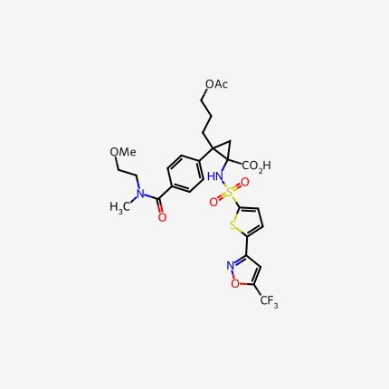 COCCN(C)C(=O)c1ccc(C2(CCCOC(C)=O)CC2(NS(=O)(=O)c2ccc(-c3cc(C(F)(F)F)on3)s2)C(=O)O)cc1